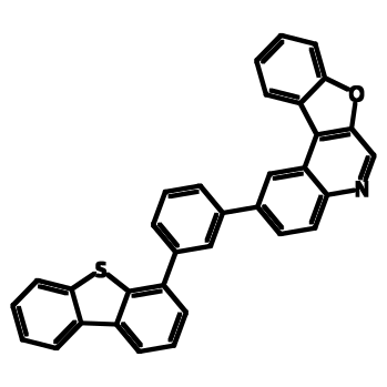 c1cc(-c2ccc3ncc4oc5ccccc5c4c3c2)cc(-c2cccc3c2sc2ccccc23)c1